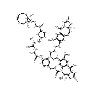 C=C(OC[C@@H]1[C@@H]2CC/C=C\CC[C@@H]21)C1CCC(N[C@H](C(=O)N[C@@H](C)C(=O)Nc2ccc(COC(=O)N3c4cc(OCCCCCOc5cc6c(cc5OC)C(=O)N5C=C(C)C[C@H]5C=N6)c(OC)cc4C(=O)N4C=C(C)C[C@H]4[C@@H]3O)cc2)C(C)C)C1